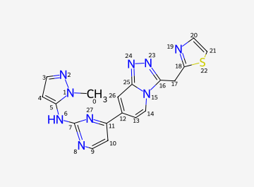 Cn1nccc1Nc1nccc(-c2ccn3c(Cc4nccs4)nnc3c2)n1